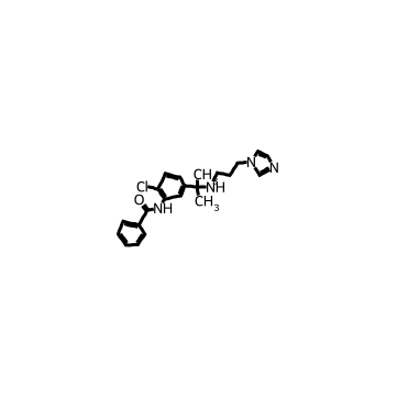 CC(C)(NCCCn1ccnc1)c1ccc(Cl)c(NC(=O)c2ccccc2)c1